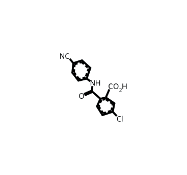 N#Cc1ccc(NC(=O)c2ccc(Cl)cc2C(=O)O)cc1